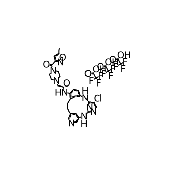 Cc1cc(C(=O)N2CCN(CC(=O)Nc3ccc4cc3CCc3cncc(c3)Nc3ncc(Cl)c(n3)N4)CC2)no1.O=C(O)C(F)(F)F.O=C(O)C(F)(F)F.O=C(O)C(F)(F)F